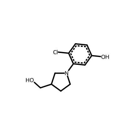 OCC1CCN(c2cc(O)ccc2Cl)C1